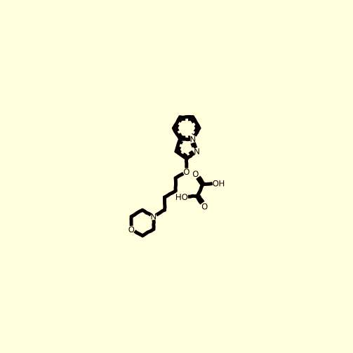 O=C(O)C(=O)O.c1ccn2nc(OCCCCN3CCOCC3)cc2c1